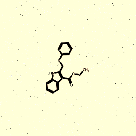 CCOC(=O)c1c(CSc2ccccc2)[nH]c2ccccc12